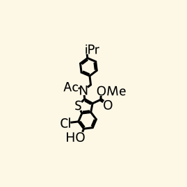 COC(=O)c1c(N(Cc2ccc(C(C)C)cc2)C(C)=O)sc2c(Cl)c(O)ccc12